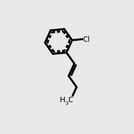 CC/C=C/c1ccccc1Cl